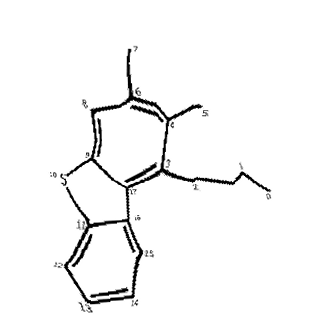 CCCc1c(C)c(C)cc2sc3ccccc3c12